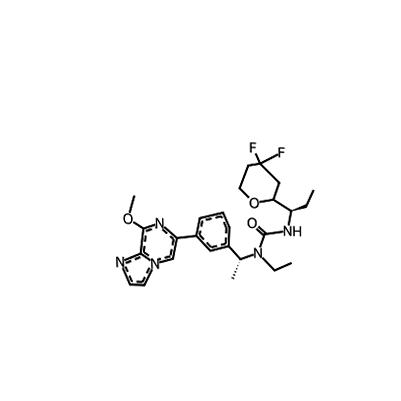 CC[C@@H](NC(=O)N(CC)[C@H](C)c1cccc(-c2cn3ccnc3c(OC)n2)c1)C1CC(F)(F)CCO1